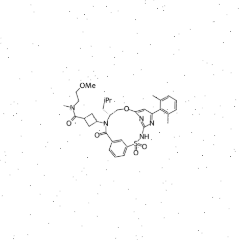 COCCN(C)C(=O)C1CC(N2C(=O)c3cccc(c3)S(=O)(=O)Nc3nc(cc(-c4c(C)cccc4C)n3)OC[C@H]2CC(C)C)C1